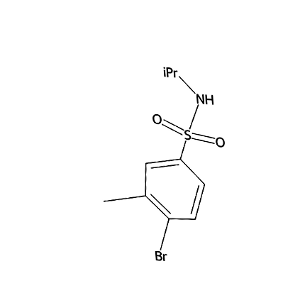 Cc1cc(S(=O)(=O)NC(C)C)ccc1Br